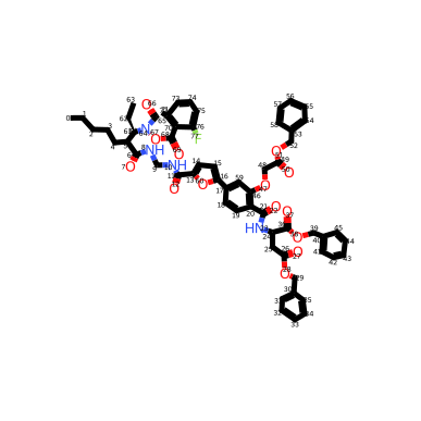 CCCCCC(C(=O)NCNC(=O)c1ccc(-c2ccc(C(=O)NC(CC(=O)OCc3ccccc3)C(=O)OCc3ccccc3)c(OCC(=O)OCc3ccccc3)c2)o1)[C@@H](CC)N(C=O)OC(=O)c1c(C)cccc1F